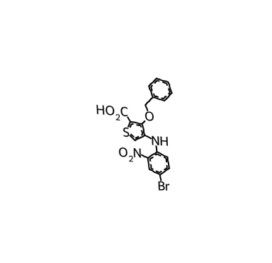 O=C(O)c1scc(Nc2ccc(Br)cc2[N+](=O)[O-])c1OCc1ccccc1